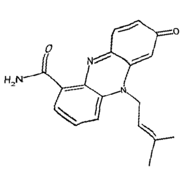 CC(C)=CCn1c2cc(=O)ccc-2nc2c(C(N)=O)cccc21